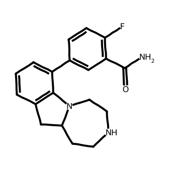 NC(=O)c1cc(-c2cccc3c2N2CCNCCC2C3)ccc1F